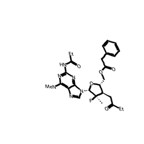 CCC(=O)C[C@@H]1[C@@H](COC(=O)Cc2ccccc2)O[C@@H](n2cnc3c(NC)nc(NC(=O)CC)nc32)[C@]1(C)F